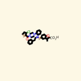 Cc1c(C(=O)O)oc2ccc(SN(CCc3ccccc3)c3ccccc3N3CCN(C(=O)c4sccc4Cl)CC3)cc12